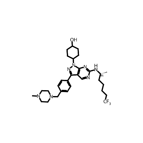 C[C@H](CCCCC(F)(F)F)Nc1ncc2c(-c3ccc(CN4CCN(C)CC4)cc3)nn(C3CCC(O)CC3)c2n1